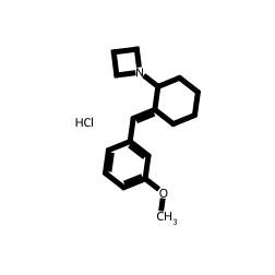 COc1cccc(C=C2CCCCC2N2CCC2)c1.Cl